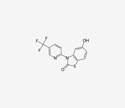 O=c1sc2ccc(O)cc2n1-c1ccc(C(F)(F)F)cn1